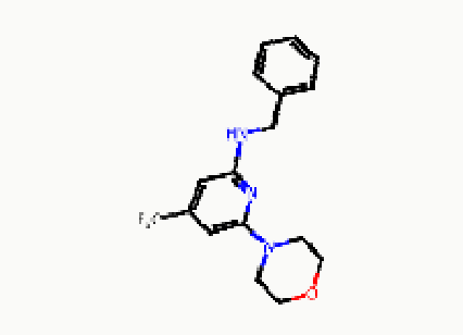 FC(F)(F)c1cc(NCc2ccccc2)nc(N2CCOCC2)c1